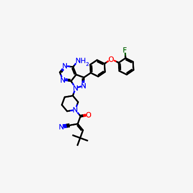 CC(C)(C)C=C(C#N)C(=O)N1CCCC(n2nc(-c3ccc(Oc4ccccc4F)cc3)c3c(N)ncnc32)C1